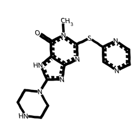 Cn1c(Sc2cnccn2)nc2nc(N3CCNCC3)[nH]c2c1=O